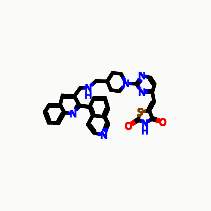 O=C1NC(=O)C(=Cc2ccnc(N3CCC(CNCc4cc5ccccc5nc4-c4cccc5cnccc45)CC3)n2)S1